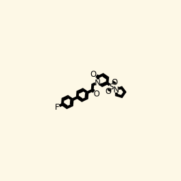 O=C(Cn1cc(S(=O)(=O)N2CCCC2)ccc1=O)c1ccc(-c2ccc(F)cc2)cc1